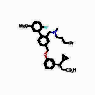 COc1ccc(F)c(-c2ccc(COc3cccc([C@H](CC(=O)O)C4CC4)c3)cc2CN(C)CCCC(C)C)c1